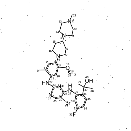 Cc1cc(N2CCC(N3CCN(C)CC3)CC2)c(OC(F)(F)F)cc1Nc1ncc(Br)c(Nc2cc(F)ccc2C(C)(C)O)n1